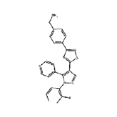 C/C=C\C(=C(/C)F)n1nnc(-c2nc(-c3ccc(CN)cc3)no2)c1-c1ccncc1